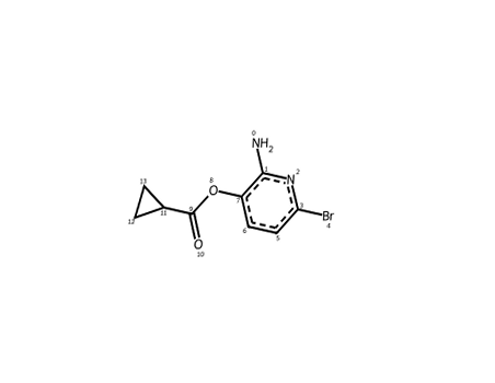 Nc1nc(Br)ccc1OC(=O)C1CC1